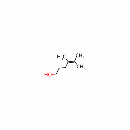 CC(C)=C(C)CCCO